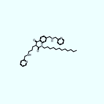 CCCCCCCCCCCCNC(=O)C(CCCNCc1ccccn1)C(=O)c1ccc(CNCc2ccccn2)cc1